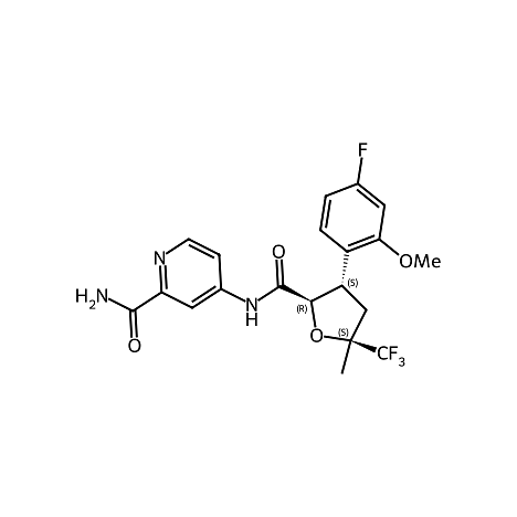 COc1cc(F)ccc1[C@@H]1C[C@@](C)(C(F)(F)F)O[C@H]1C(=O)Nc1ccnc(C(N)=O)c1